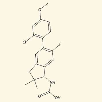 COc1ccc(-c2cc3c(cc2F)[C@H](NC(=O)O)C(C)(C)C3)c(Cl)c1